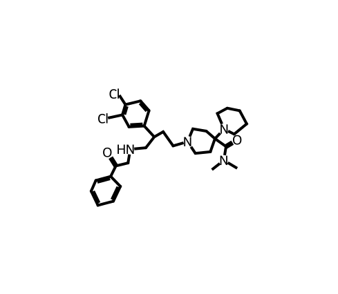 CN(C)C(=O)C1(N2CCCCC2)CCN(CCC(CNCC(=O)c2ccccc2)c2ccc(Cl)c(Cl)c2)CC1